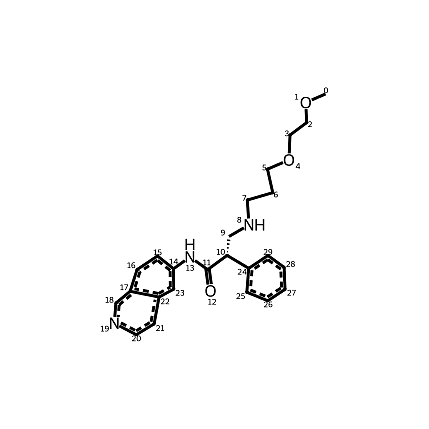 COCCOCCCNC[C@@H](C(=O)Nc1ccc2cnccc2c1)c1ccccc1